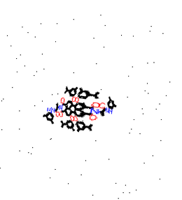 Cc1cc(C)cc(NC(=O)C(C)N2C(=O)c3cc(Oc4cc(C)cc(C(C)C)c4)c4c5c(Oc6cc(C)cc(C(C)C)c6)cc6c7c(cc(Oc8cc(C)cc(C(C)C)c8)c(c8c(Oc9cc(C)cc(C(C)C)c9)cc(c3c48)C2=O)c75)C(=O)N(C(C)C(=O)Nc2cc(C)cc(C)c2)C6=O)c1